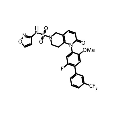 COc1cc(-c2cccc(C(F)(F)F)c2)c(F)cc1-n1c2c(ccc1=O)CN(S(=O)(=O)Nc1ccon1)CC2